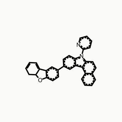 C1=CCC2Oc3ccc(-c4ccc5c(c4)c4c6ccccc6ccc4n5-c4ccccn4)cc3C2=C1